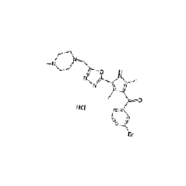 Cc1[nH]c(-c2nnc(CN3CCN(C)CC3)o2)c(C)c1C(=O)c1cccc(Br)c1.Cl